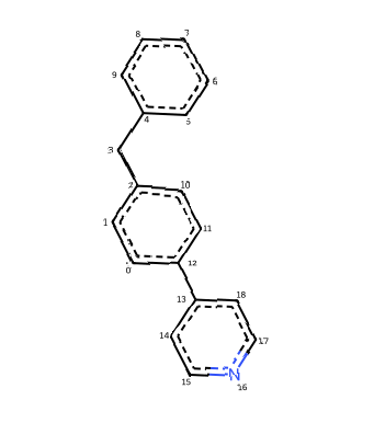 [c]1cc(Cc2ccccc2)ccc1-c1ccncc1